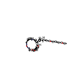 CCOCCOCCOCCOCCOCCOCCOCCNC(=S)O[C@@H]1CC[C@@H](C[C@@H](C)[C@@H]2C[C@@H](OC)[C@H](C)/C=C(\C)[C@@H](O)[C@@H](O)C(=O)[C@H](C)C[C@H](C)/C=C/C=C/C=C(\C)[C@@H](OC)C[C@@H]3CC[C@@H](C)[C@@](O)(O3)C(=O)C(=O)N3CCCC[C@H]3C(O)O2)C[C@H]1OC